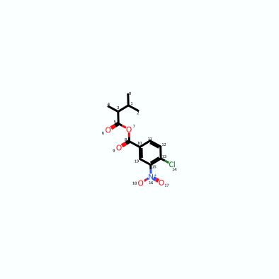 CC(C)C(C)C(=O)OC(=O)c1ccc(Cl)c([N+](=O)[O-])c1